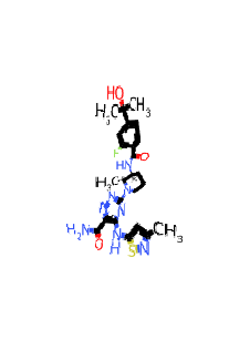 Cc1cc(Nc2nc(N3CCC[C@@H](NC(=O)c4ccc(C(C)(C)O)cc4F)[C@H]3C)nnc2C(N)=O)sn1